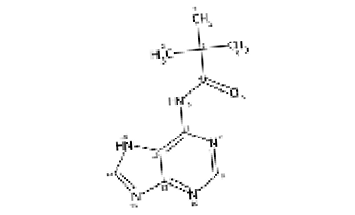 CC(C)(C)C(=O)Nc1ncnc2nc[nH]c12